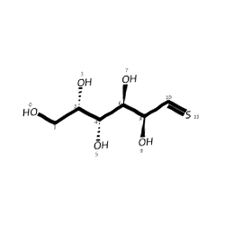 OC[C@H](O)[C@@H](O)[C@@H](O)[C@H](O)C=S